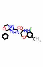 Cc1cc(F)c2c(c1)OC[C@H](NC(=O)c1nc3n(n1)CCO[C@H]3c1ccccc1)C(=O)N2